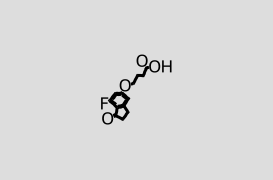 O=C(O)CCCOc1cc(F)c2c(c1)CCC2=O